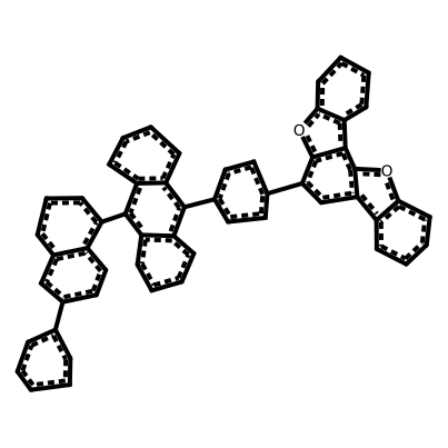 c1ccc(-c2ccc3c(-c4c5ccccc5c(-c5ccc(-c6cc7c8ccccc8oc7c7c6oc6ccccc67)cc5)c5ccccc45)cccc3c2)cc1